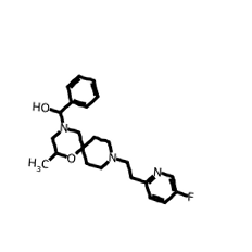 CC1CN(C(O)c2ccccc2)CC2(CCN(CCc3ccc(F)cn3)CC2)O1